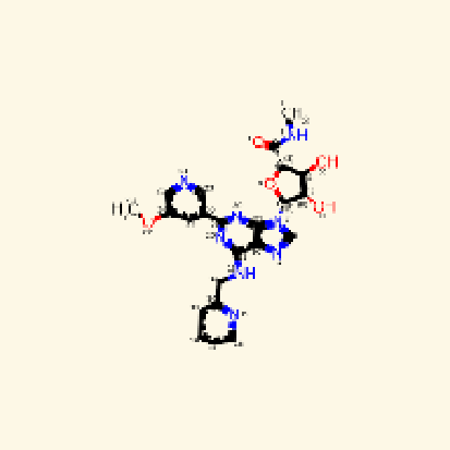 CNC(=O)[C@H]1O[C@@H](n2cnc3c(NCc4ccccn4)nc(-c4cncc(OC)c4)nc32)[C@H](O)C1O